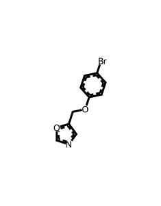 Brc1ccc(OCc2cnco2)cc1